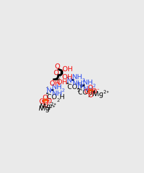 CN(CC(=O)O)C(=N)N.CN(CC(=O)O)C(=N)N.CN(CC(=O)O)C(=N)N.O=C1O[C@H]([C@@H](O)CO)C(O)=C1O.O=P([O-])([O-])[O-].O=P([O-])([O-])[O-].[Mg+2].[Mg+2].[Mg+2]